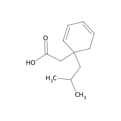 CC(C)CC1(CC(=O)O)C=CC=CC1